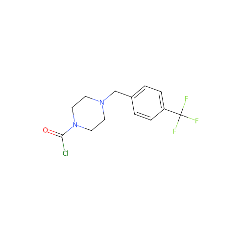 O=C(Cl)N1CCN(Cc2ccc(C(F)(F)F)cc2)CC1